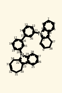 C1=Cc2c(c3ccccc3n2-c2cccc(-c3cccc(-n4c5c(c6ccccc64)CCC=CC5)c3)c2)CC1